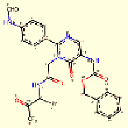 CC(C)C(NC(=O)Cn1c(-c2ccc(NC=O)cc2)ncc(NC(=O)OCc2ccccc2)c1=O)C(=O)C(F)(F)F